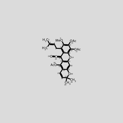 COc1c(CC=C(C)C)c2c(c(OC(C)=O)c1OC(C)=O)Oc1cc3c(c(OC(C)=O)c1C2=C=O)C=CC(C)(C)O3